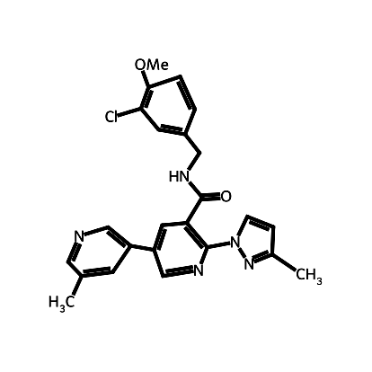 COc1ccc(CNC(=O)c2cc(-c3cncc(C)c3)cnc2-n2ccc(C)n2)cc1Cl